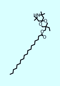 CCCCCCCCCCCCCCCCCC(=O)OCC1(CC)COC2(CC(C)(C)NC(C)(C)C2)OC1